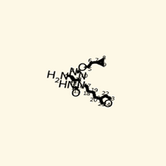 Nc1nc(OCCC2CC2)nc2c1[nH]c(=O)n2CCCCC1CCOC1